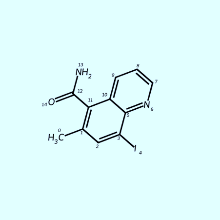 Cc1cc(I)c2ncccc2c1C(N)=O